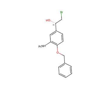 CC(=O)Nc1cc([C@H](O)CBr)ccc1OCc1ccccc1